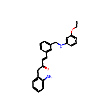 CCOc1cccc(NCc2cccc(/C=C/C(=O)Cc3ccccc3N)c2)c1